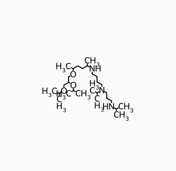 CC(C)NCCCN(CCCCNC(C)CCC(C)OCC(COC(C)C)OC(C)C)C(C)C